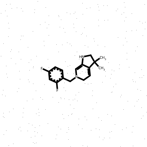 CC1(C)CNC2=CN(Cc3ccc(F)cc3F)CC=C21